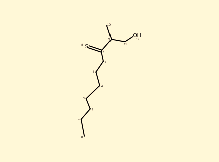 CCCCCCCC(=S)C(C)CO